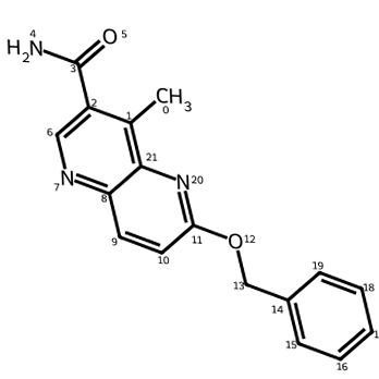 Cc1c(C(N)=O)cnc2ccc(OCc3ccccc3)nc12